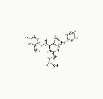 Cc1ccc(CNc2nc(NCC(C)O)nc3c2ncn3Cc2ccccc2)c(N)c1